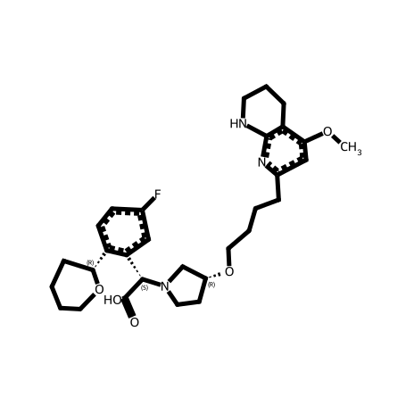 COc1cc(CCCCO[C@@H]2CCN([C@H](C(=O)O)c3cc(F)ccc3[C@H]3CCCCO3)C2)nc2c1CCCN2